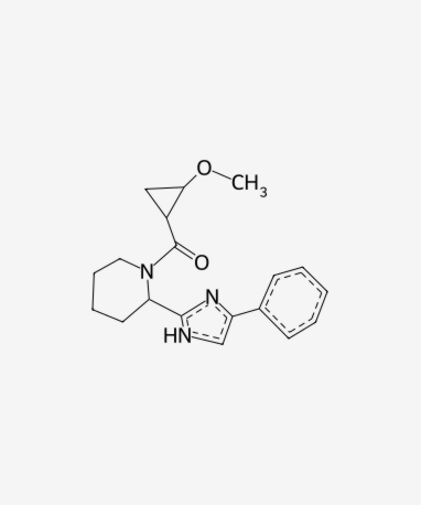 COC1CC1C(=O)N1CCCCC1c1nc(-c2ccccc2)c[nH]1